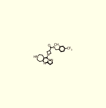 CN(Cc1ccc(C(F)(F)F)cc1)C(=O)C1CN(c2c3c(nc4ccnn24)CCNCC3)C1